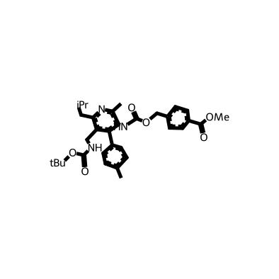 COC(=O)c1ccc(COC(=O)Nc2c(C)nc(CC(C)C)c(CNC(=O)OC(C)(C)C)c2-c2ccc(C)cc2)cc1